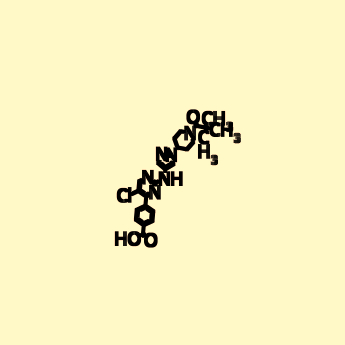 CC(C)(C)C(=O)N1CCC(n2cc(Nc3ncc(Cl)c(-c4ccc(C(=O)O)cc4)n3)cn2)CC1